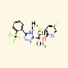 Cn1c(-c2ccccc2C(F)(F)F)nnc1C(C)(C)Oc1ncc(F)cc1F